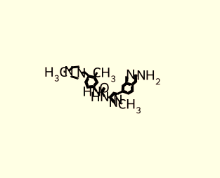 Cc1cc(NC(=O)Nc2cc(-c3ccc4cc(N)ncc4c3)n(C)n2)ccc1CN1CCN(C)CC1